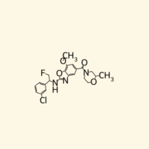 COc1cc(C(=O)N2CCOC(C)C2)cc2nc(NC(CF)c3cccc(Cl)c3)oc12